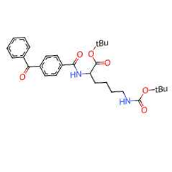 CC(C)(C)OC(=O)NCCCCC(NC(=O)c1ccc(C(=O)c2ccccc2)cc1)C(=O)OC(C)(C)C